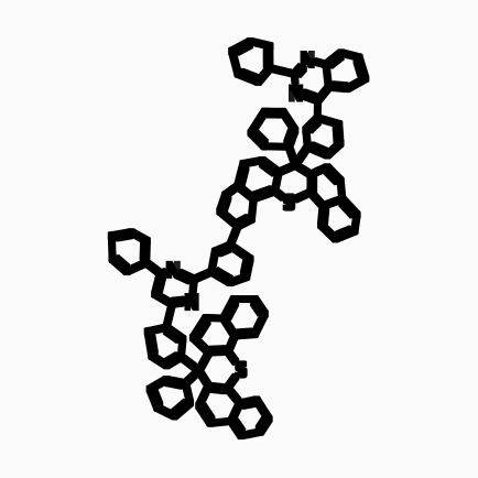 c1ccc(-c2cc(-c3cccc(C4(c5ccccc5)c5ccc6ccccc6c5Sc5c4ccc4ccccc54)c3)nc(-c3cccc(-c4ccc5ccc6c(c5c4)Sc4c(ccc5ccccc45)C6(c4ccccc4)c4cccc(-c5nc(-c6ccccc6)nc6ccccc56)c4)c3)n2)cc1